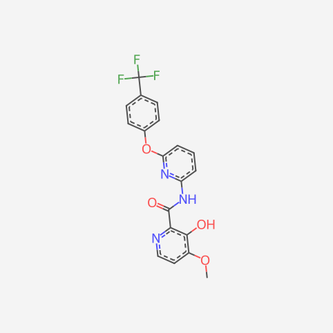 COc1ccnc(C(=O)Nc2cccc(Oc3ccc(C(F)(F)F)cc3)n2)c1O